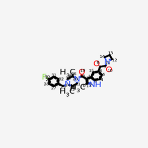 Cc1[nH]c2ccc(C(=O)C(=O)N3CCC3)cc2c1C(=O)N1C[C@H](C)N(Cc2ccc(F)cc2)C[C@H]1C